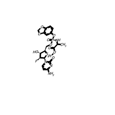 CC(C)OC(=O)C(C)N[P@](=O)(OC[C@H]1S[C@@H](n2ccc(N)nc2=O)[C@@H](F)[C@@H]1O)Oc1ccc2c(c1)OCO2